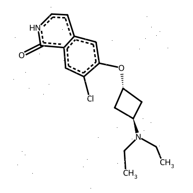 CCN(CC)[C@H]1C[C@H](Oc2cc3cc[nH]c(=O)c3cc2Cl)C1